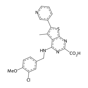 COc1ccc(CNc2nc(C(=O)O)nc3sc(-c4cccnc4)c(C)c23)cc1Cl